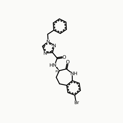 O=C(N[C@@H]1CCc2cc(Br)ccc2NC1=O)c1ncn(Cc2ccccc2)n1